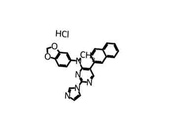 CN(c1ccc2c(c1)OCO2)c1nc(-n2ccnc2)ncc1-c1ccc2ccccc2c1.Cl